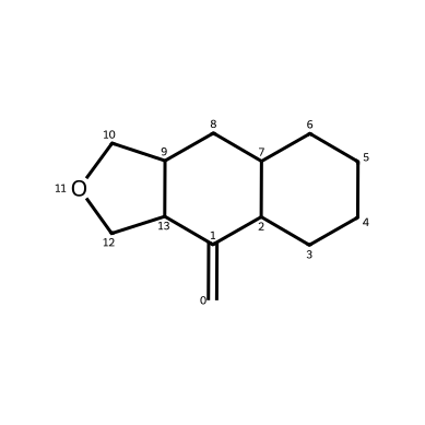 C=C1C2CCCCC2CC2COCC12